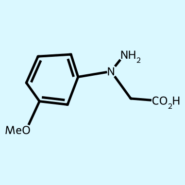 COc1cccc(N(N)CC(=O)O)c1